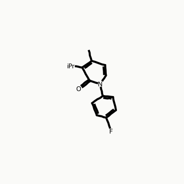 Cc1ccn(-c2ccc(F)cc2)c(=O)c1C(C)C